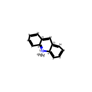 [HH].c1ccc2nc3ccccc3cc2c1